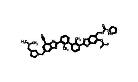 Cc1c(-c2nc3cc(COC(=O)[C@@H]4CCCN4)c(OC(F)F)cc3o2)cccc1-c1cccc(-c2nc3cc(CN4CCC(CN(C)C)C4)cc(C#N)c3o2)c1C